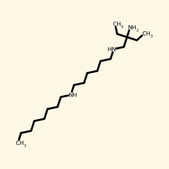 CCCCCCCCNCCCCCCNCC(N)(CC)CC